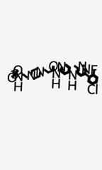 Cc1nnc(-c2cc(Cl)ccc2F)cc1Nc1ccnc(NC(=O)CCN2CCN(CCNS(C)(=O)=O)CC2)c1